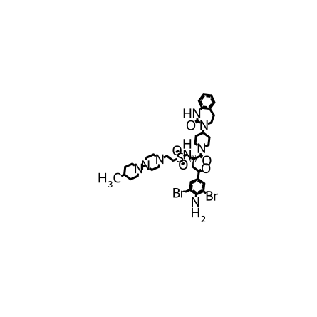 CC1CCN(N2CCN(CCS(=O)(=O)N[C@H](CC(=O)c3cc(Br)c(N)c(Br)c3)C(=O)N3CCC(N4CCc5ccccc5NC4=O)CC3)CC2)CC1